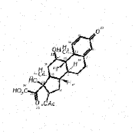 CC(=O)OC1C[C@H]2[C@@H]3CCC4=CC(=O)C=C[C@]4(C)[C@@]3(F)C(O)C[C@]2(C)[C@@]1(O)C(=O)C(=O)O